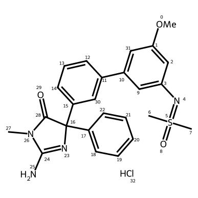 COc1cc(N=S(C)(C)=O)cc(-c2cccc(C3(c4ccccc4)N=C(N)N(C)C3=O)c2)c1.Cl